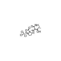 CC[C@@H](O)[C@H](NC[C@]12CCCN1[C@H](C(Cl)(Cl)Cl)OC2=O)C(N)=O